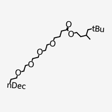 CCCCCCCCCCCCOCCOCCOCCOCCCC(=O)OCCC(C)CC(C)(C)C